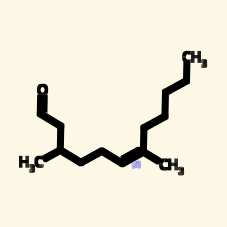 CCCCC/C(C)=C\CCC(C)CC=O